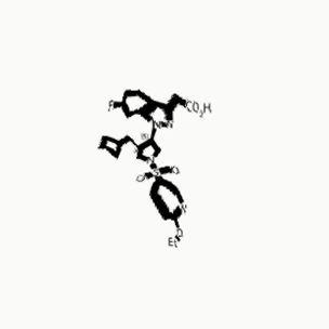 CCOc1ccc(S(=O)(=O)N2C[C@@H](CC3CCC3)[C@@H](n3nc(CC(=O)O)c4ccc(F)cc43)C2)cn1